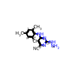 Cc1cc(C)c(Nc2cc(C#N)nc(NN)n2)c(C)c1